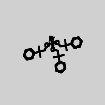 CC(C)(C[O][Hf]([Br])([O]CC(C)(C)c1ccccc1)[O]CC(C)(C)c1ccccc1)c1ccccc1